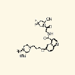 [2H]N1CCN(CCCOc2ccc3nccc(C(=O)NCC(=O)N4CC(F)(F)CC4C#N)c3c2)C[C@@H]1C(C)(C)C